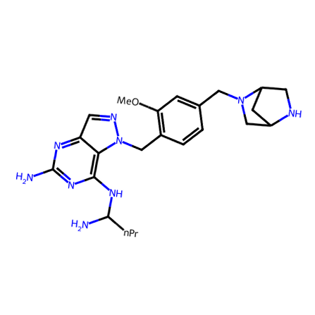 CCCC(N)Nc1nc(N)nc2cnn(Cc3ccc(CN4CC5CC4CN5)cc3OC)c12